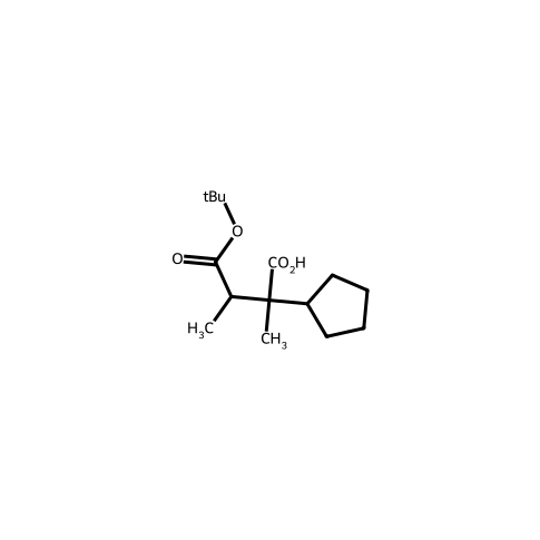 CC(C(=O)OC(C)(C)C)C(C)(C(=O)O)C1CCCC1